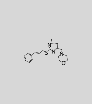 Cc1cc(CN2CCOCC2)nc(SCC=Cc2ccccc2)n1